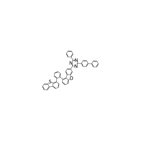 c1ccc(-c2ccc(-c3nc(-c4ccccc4)nc(-c4ccc5c(c4)oc4cccc(-c6ccccc6-c6cccc7c6sc6ccccc67)c45)n3)cc2)cc1